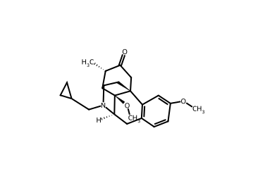 COc1ccc2c(c1)[C@]13CCN(CC4CC4)[C@H](C2)[C@]1(OC)C[C@H](C)C(=O)C3